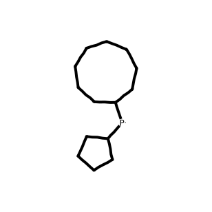 C1CCCCC([P]C2CCCC2)CCC1